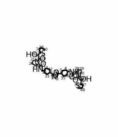 O=C(Nc1ccc(-c2cnc(-c3ccc(NC(=O)[C@@H]4CCCN4C(=O)C(O)c4cccs4)cc3)o2)cc1)[C@@H]1CCCN1C(=O)C(O)c1cccs1